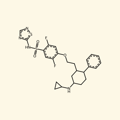 O=S(=O)(Nc1ncns1)c1cc(F)c(OCCC2CC(NC3CC3)CCC2c2ccccc2)cc1F